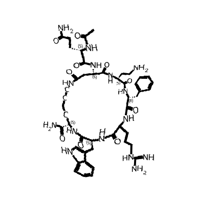 CC(=O)N[C@@H](CCC(N)=O)C(=O)N[C@H]1CC(=O)NCCCC[C@@H](C(N)=O)NC(=O)[C@H](Cc2c[nH]c3ccccc23)NC(=O)C(CCCNC(=N)N)NC(=O)[C@@H](Cc2ccccc2)NC(=O)[C@H](CCN)NC1=O